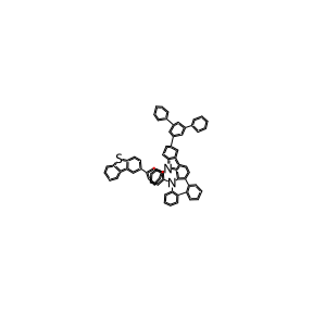 c1ccc(-c2cc(-c3ccccc3)cc(-c3ccc4c(c3)c3ccc5c(c3n4-c3cccc(-c4ccc6sc7ccccc7c6c4)c3)N(c3ccccc3)c3ccccc3-c3ccccc3-5)c2)cc1